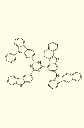 c1ccc(-n2c3ccccc3c3ccc(-c4nc(-c5ccc6sc7ccccc7c6c5)nc(-c5cc(-n6c7ccccc7c7cc8ccccc8cc76)cc6oc7c8ccccc8ccc7c56)n4)cc32)cc1